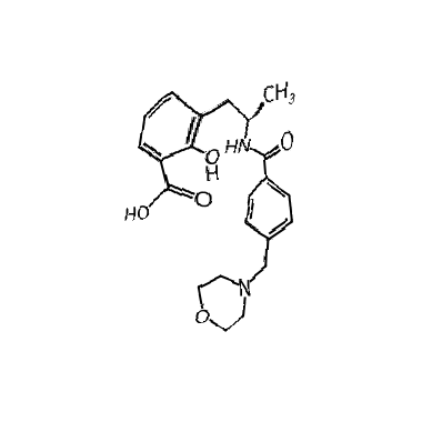 C[C@H](Cc1cccc(C(=O)O)c1O)NC(=O)c1ccc(CN2CCOCC2)cc1